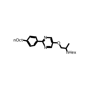 CCCCCCCCc1ccc(-c2ncc(OCC(C)CCCCCC)cn2)cc1